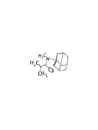 C=C(C)C(=O)N(C)C12CC3CC(CC(C3)C1)C2